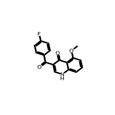 COc1cccc2[nH]cc(C(=O)c3ccc(F)cc3)c(=O)c12